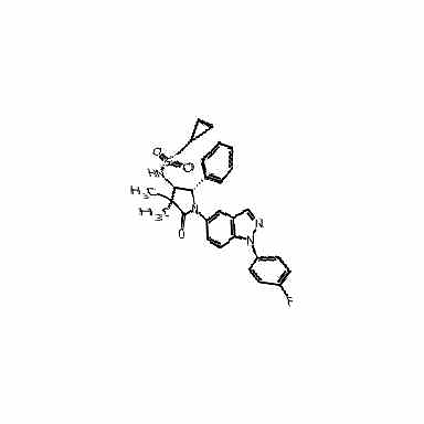 CC1(C)C(=O)N(c2ccc3c(cnn3-c3ccc(F)cc3)c2)[C@@H](c2ccccc2)[C@@H]1NS(=O)(=O)C1CC1